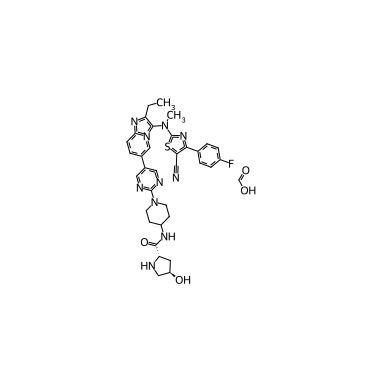 CCc1nc2ccc(-c3cnc(N4CCC(NC(=O)[C@@H]5C[C@@H](O)CN5)CC4)nc3)cn2c1N(C)c1nc(-c2ccc(F)cc2)c(C#N)s1.O=CO